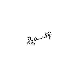 COc1ccccc1C(C(=O)O)N1CCC(CCCCCc2ccc3c(n2)NCCC3)C1